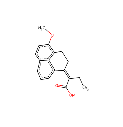 CCC(C(=O)O)=C1CCc2c(OC)ccc3cccc1c23